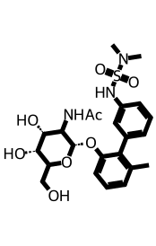 CC(=O)NC1[C@H](Oc2cccc(C)c2-c2cccc(NS(=O)(=O)N(C)C)c2)OC(CO)[C@H](O)[C@@H]1O